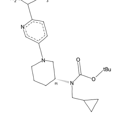 CC(N)c1ccc(N2CCC[C@@H](N(CC3CC3)C(=O)OC(C)(C)C)C2)cn1